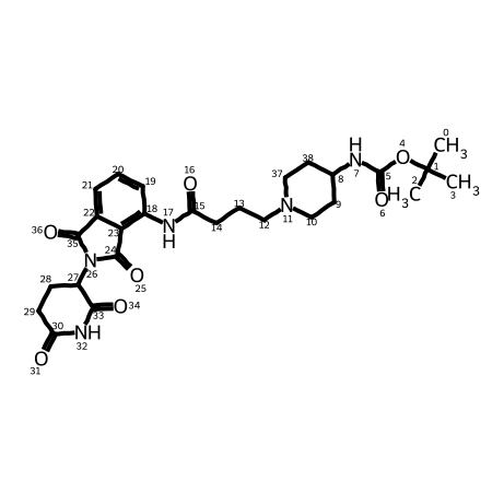 CC(C)(C)OC(=O)NC1CCN(CCCC(=O)Nc2cccc3c2C(=O)N(C2CCC(=O)NC2=O)C3=O)CC1